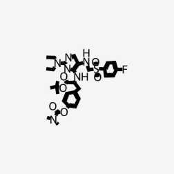 CCN(CC)c1ncc(NCS(=O)(=O)c2ccc(F)cc2)c(NC(Cc2ccc(OC(=O)N(C)C)cc2)C(=O)OC(C)(C)C)n1